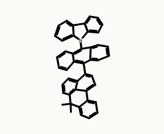 CC1(C)c2ccccc2-c2ccc(-c3c4ccccc4c(-n4c5ccccc5c5ccccc54)c4ccccc34)c3cccc1c23